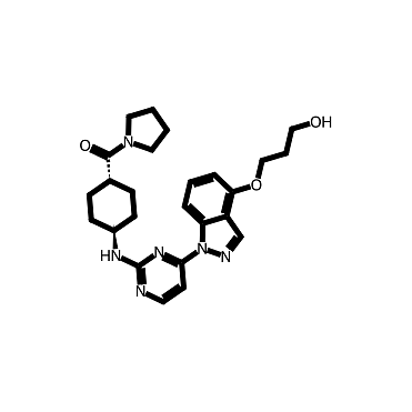 O=C([C@H]1CC[C@H](Nc2nccc(-n3ncc4c(OCCCO)cccc43)n2)CC1)N1CCCC1